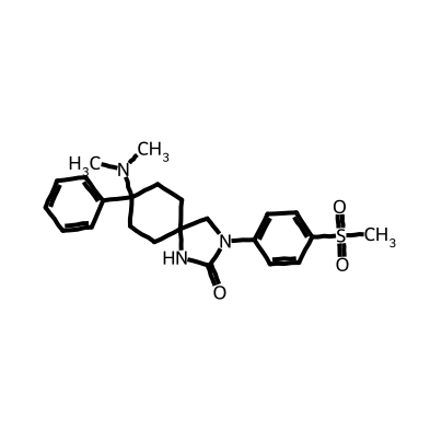 CN(C)C1(c2ccccc2)CCC2(CC1)CN(c1ccc(S(C)(=O)=O)cc1)C(=O)N2